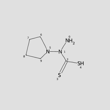 NN(C(=S)S)N1CCCC1